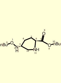 CCCCON[C@@H]1CC[C@@H](C(=O)OCCCC)NC1